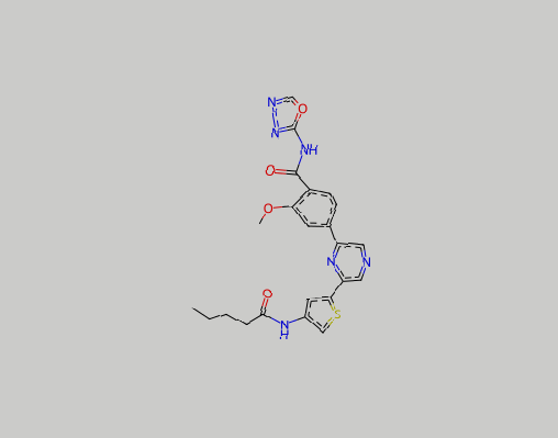 CCCCC(=O)Nc1csc(-c2cncc(-c3ccc(C(=O)Nc4nnco4)c(OC)c3)n2)c1